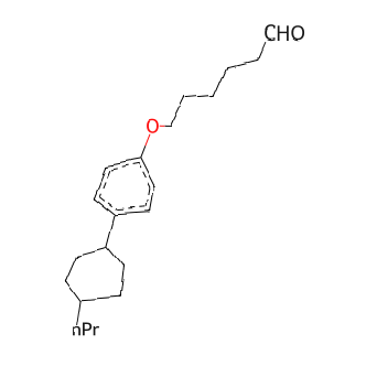 CCCC1CCC(c2ccc(OCCCCCC=O)cc2)CC1